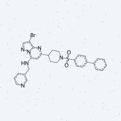 O=S(=O)(c1ccc(-c2ccccc2)cc1)N1CCC(c2cc(NCc3cccnc3)n3ncc(Br)c3n2)CC1